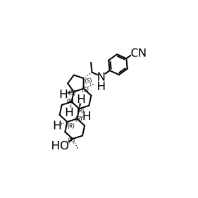 CC(Nc1ccc(C#N)cc1)[C@H]1CC[C@H]2[C@@H]3CC[C@@H]4C[C@](C)(O)CC[C@@H]4[C@H]3CC[C@]12C